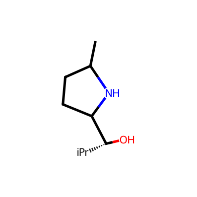 CC1CCC([C@H](O)C(C)C)N1